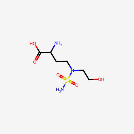 NC(CCN(CCO)S(N)(=O)=O)C(=O)O